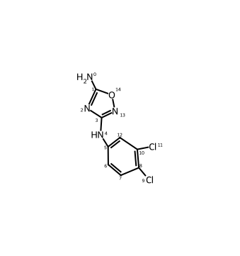 Nc1nc(Nc2ccc(Cl)c(Cl)c2)no1